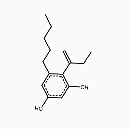 C=C(CC)c1c(O)cc(O)cc1CCCCC